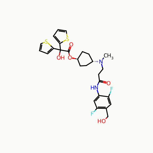 CN(CCC(=O)Nc1cc(F)c(CO)cc1F)[C@H]1CC[C@H](OC(=O)C(O)(c2cccs2)c2cccs2)CC1